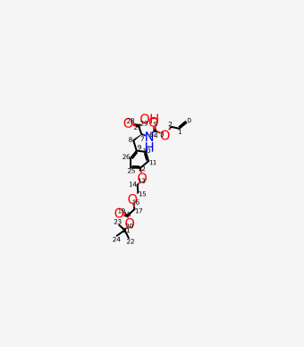 C=CCOC(=O)N[C@@H](Cc1ccc(OCCOCC(=O)OC(C)(C)C)cc1)C(=O)O